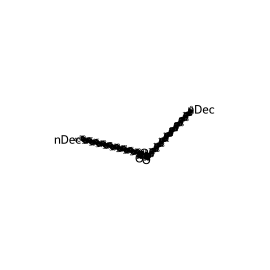 CCCCCCCCCCCCCCCCCCCCCCCCCCCC(=O)OC(=O)CCCCCCCCCCCCCCCCCCCCCCCCCCC